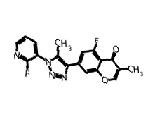 Cc1coc2cc(-c3nnn(-c4cccnc4F)c3C)cc(F)c2c1=O